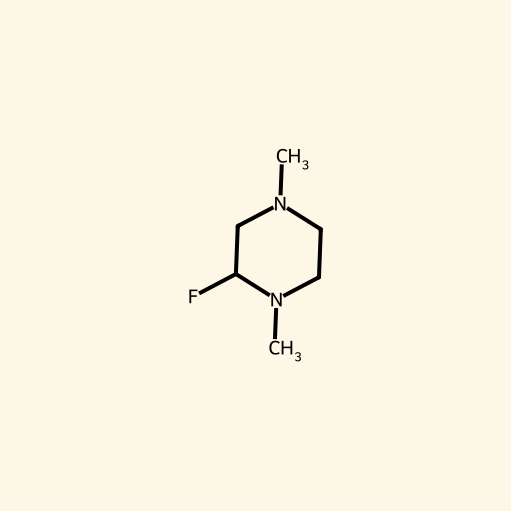 CN1CCN(C)C(F)C1